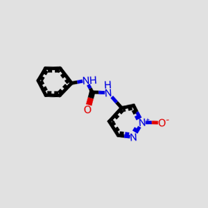 O=C(Nc1ccccc1)Nc1ccn[n+]([O-])c1